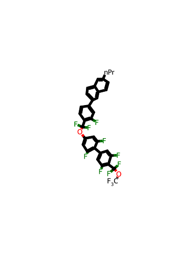 CCCc1ccc2cc(-c3ccc(C(F)(F)Oc4cc(F)c(-c5cc(F)c(C(F)(F)OC(F)(F)F)c(F)c5)c(F)c4)c(F)c3)ccc2c1